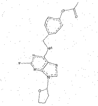 CC(=O)Oc1ccc(CNc2nc(F)nc3c2ncn3C2CCCO2)cc1